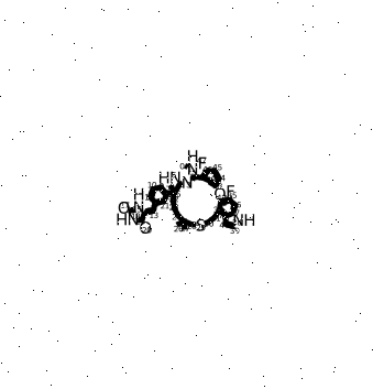 CN/C1=N\C(=N)C(C)(c2cccc(/C=C3\NC(=O)NC3=O)c2)CCCC(C)(C)CSCCc2c(c(F)cc3[nH]ccc23)Oc2ccc(F)c1c2